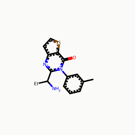 CCC(N)c1nc2ccsc2c(=O)n1-c1cccc(C)c1